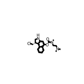 CN(C)CCN(C)C(=O)Oc1cc2c(c3ccccc13)[C@H](CCl)CN2